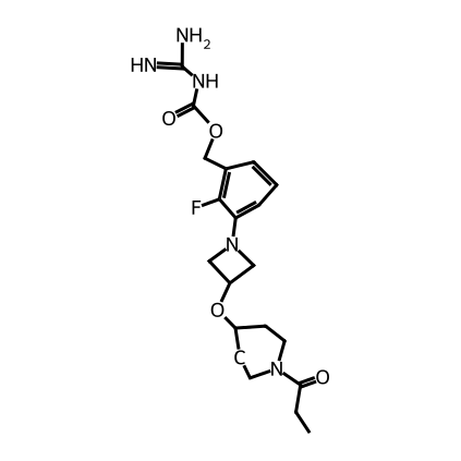 CCC(=O)N1CCC(OC2CN(c3cccc(COC(=O)NC(=N)N)c3F)C2)CC1